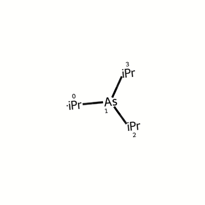 [CH2][C](C)[As](C(C)C)C(C)C